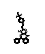 CN1C(=O)[C@H](NC(=O)CCc2ccc(C(F)(F)F)cc2)N=C(c2ccccc2)c2ccccc21